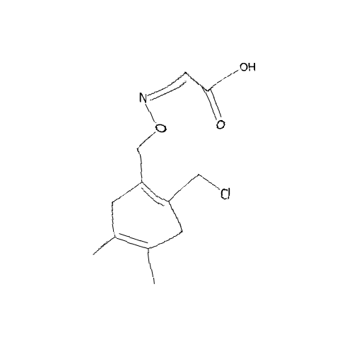 CC1=C(C)CC(CO/N=C\C(=O)O)=C(CCl)C1